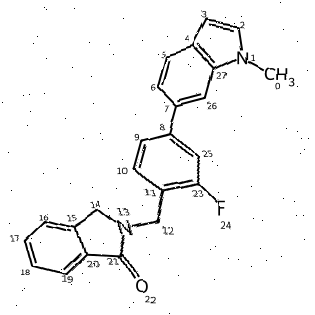 Cn1ccc2ccc(-c3ccc(CN4Cc5ccccc5C4=O)c(F)c3)cc21